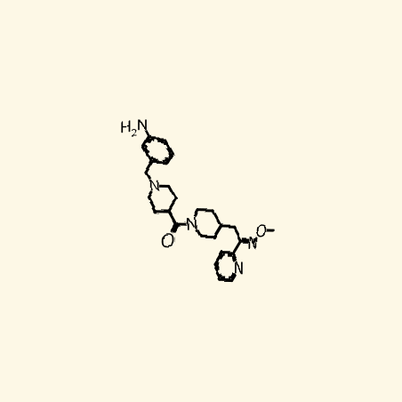 CO/N=C(\CC1CCN(C(=O)C2CCN(Cc3cccc(N)c3)CC2)CC1)c1ccccn1